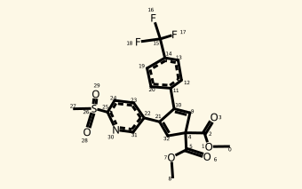 COC(=O)C1(C(=O)OC)C=C(c2ccc(C(F)(F)F)cc2)C(c2ccc(S(C)(=O)=O)nc2)=C1